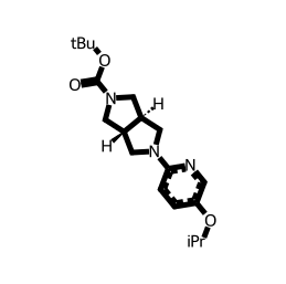 CC(C)Oc1ccc(N2C[C@@H]3CN(C(=O)OC(C)(C)C)C[C@H]3C2)nc1